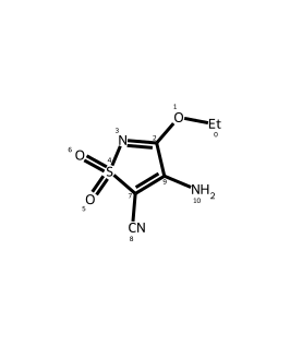 CCOC1=NS(=O)(=O)C(C#N)=C1N